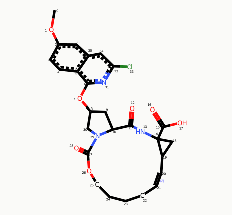 COc1ccc2c(OC3CC4C(=O)NC5(C(=O)O)CC5/C=C\CCCCOC(=O)N4C3)nc(Cl)cc2c1